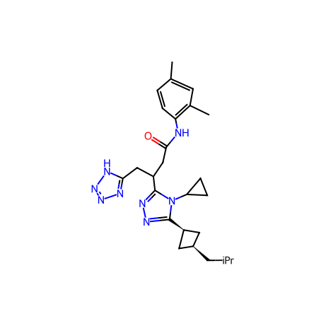 Cc1ccc(NC(=O)CC(Cc2nnn[nH]2)c2nnc([C@H]3C[C@@H](CC(C)C)C3)n2C2CC2)c(C)c1